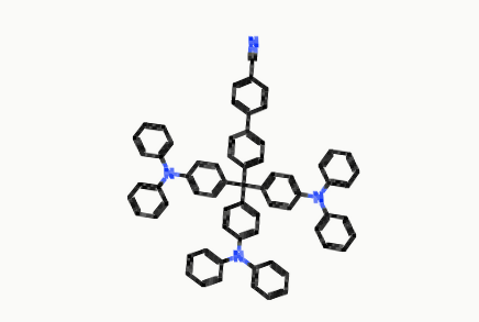 N#Cc1ccc(-c2ccc(C(c3ccc(N(c4ccccc4)c4ccccc4)cc3)(c3ccc(N(c4ccccc4)c4ccccc4)cc3)c3ccc(N(c4ccccc4)c4ccccc4)cc3)cc2)cc1